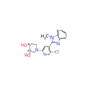 Cn1c(-c2cc(N3CC[C@@H](O)[C@H](O)C3)ncc2Cl)nc2ccccc21